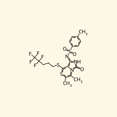 Cc1ccc(S(=O)(=O)N=c2[nH]c(=O)n3c(C)c(C)sc(SCCCC(F)(F)C(F)(F)F)c2-3)cc1